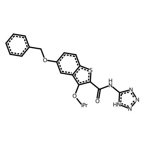 CC(C)Oc1c(C(=O)Nc2nnn[nH]2)sc2ccc(OCc3ccccc3)cc12